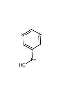 OBc1cncnc1